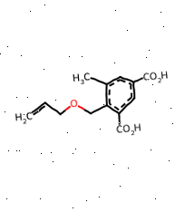 C=CCOCc1c(C)cc(C(=O)O)cc1C(=O)O